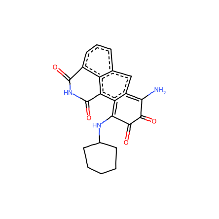 NC1=c2cc3cccc4c3c(c2=C(NC2CCCCC2)C(=O)C1=O)C(=O)NC4=O